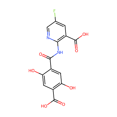 O=C(O)c1cc(O)c(C(=O)Nc2ncc(F)cc2C(=O)O)cc1O